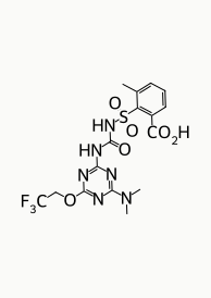 Cc1cccc(C(=O)O)c1S(=O)(=O)NC(=O)Nc1nc(OCC(F)(F)F)nc(N(C)C)n1